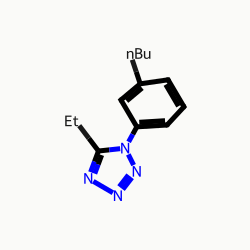 [CH2]CCCc1cccc(-n2nnnc2CC)c1